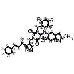 Cn1cc2cc(/N=c3\[nH]c(=O)n(Cc4cnnn4C(=O)C=Cc4ccccc4)c(=O)n3Cc3cc(F)c(F)cc3F)c(Cl)cc2n1